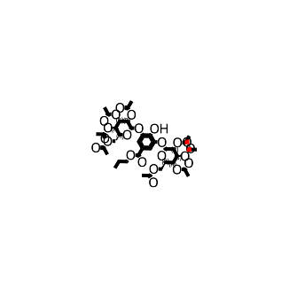 CCCOC(=O)c1cc(OC2O[C@H](COC(C)=O)[C@@H](OC(C)=O)[C@H](OC(C)=O)[C@H]2OC(C)=O)c(O)c(OC2O[C@H](COC(C)=O)[C@@H](OC(C)=O)[C@H](OC(C)=O)[C@H]2OC(C)=O)c1